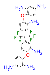 Nc1ccc(Oc2ccc(C(c3ccc(Oc4ccc(N)cc4N)c(N)c3)(C(F)(F)F)C(F)(F)F)cc2N)c(N)c1